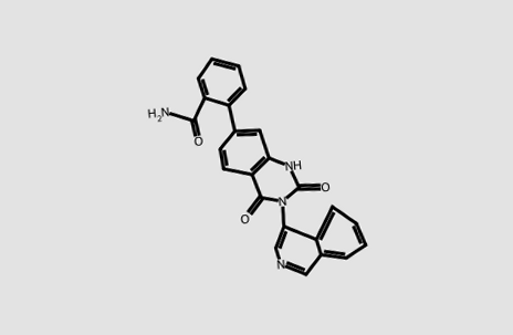 NC(=O)c1ccccc1-c1ccc2c(=O)n(-c3cncc4ccccc34)c(=O)[nH]c2c1